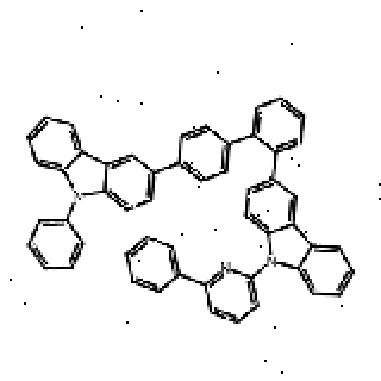 c1ccc(-c2cccc(-n3c4ccccc4c4cc(-c5ccccc5-c5ccc(-c6ccc7c(c6)c6ccccc6n7-c6ccccc6)cc5)ccc43)n2)cc1